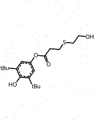 CC(C)(C)c1cc(OC(=O)CCSCCO)cc(C(C)(C)C)c1O